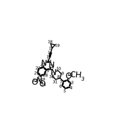 COc1ccccc1C1CCN(c2nc(C#CC3CC3)nc3ccc([N+](=O)[O-])cc23)CC1